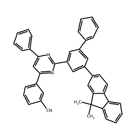 CC1(C)c2ccccc2-c2ccc(-c3cc(-c4ccccc4)cc(-c4nc(-c5ccccc5)cc(-c5cccc(C#N)c5)n4)c3)cc21